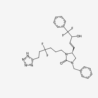 O=C1N(Cc2ccccc2)C[C@H](/C=C/C(O)C(F)(F)c2ccccc2)N1CCCC(F)(F)CCc1nnn[nH]1